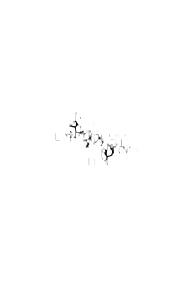 CCON=C(C(=O)NC1C(=O)N2CC(CSc3nc(N)cc(NC)[n+]3C)(C(=O)[O-])CS[C@H]12)c1csc(N)n1